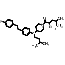 CC(C)CCN(c1ccc(CCc2ccc(F)cc2)cc1)C1CCN(C(=O)[C@H](N)CC(C)C)CC1